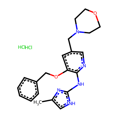 Cc1c[nH]c(Nc2ncc(CN3CCOCC3)cc2OCc2ccccc2)n1.Cl.Cl